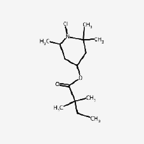 CCC(C)(C)C(=O)OC1CC(C)N(Cl)C(C)(C)C1